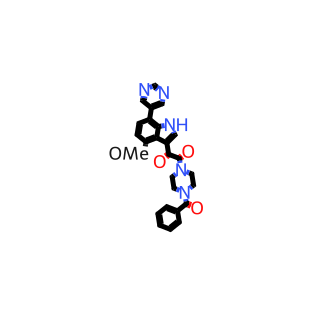 COc1ccc(-c2cncnc2)c2[nH]cc(C(=O)C(=O)N3CCN(C(=O)c4ccccc4)CC3)c12